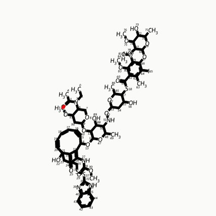 CCN(C(C)=O)C1COC(OC2C(OC3C#C/C=C\C#CC4(O)CC(=O)C(NC(=O)OC)=C3/C4=C\CSSc3nc4ccccc4[nH]3)OC(C)C(NOC3CC(O)C(SC(=O)c4c(C)c(I)c(OC5OC(C)C(O)C(OC)C5O)c(OC)c4OC)C(C)O3)C2O)CC1OC